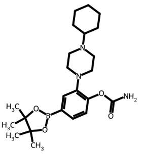 CC1(C)OB(c2ccc(OC(N)=O)c(N3CCN(C4CCCCC4)CC3)c2)OC1(C)C